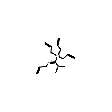 C=CC/N=C(\N(C)C)[N+](CC=C)(CC=C)CC=C